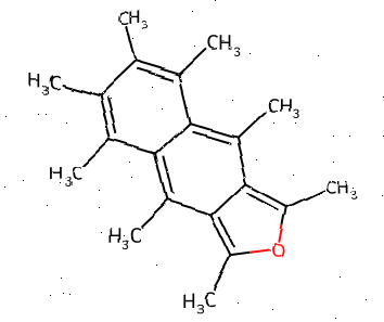 Cc1c(C)c(C)c2c(C)c3c(C)oc(C)c3c(C)c2c1C